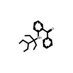 CCC(CC)C(CC)(CC)Nc1ccccc1C(=O)c1ccccc1